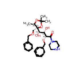 C[C@H]1OC(C)(C)O[C@@]1(COCc1ccccc1)[C@@H](O)[C@H](O)[C@@H](OCc1ccccc1)C(=O)N1CCNCC1